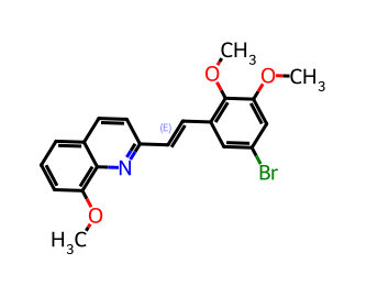 COc1cc(Br)cc(/C=C/c2ccc3cccc(OC)c3n2)c1OC